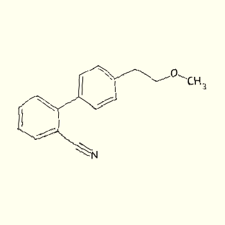 COCCc1ccc(-c2ccccc2C#N)cc1